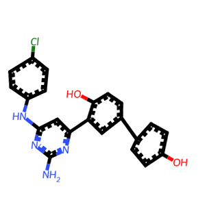 Nc1nc(Nc2ccc(Cl)cc2)cc(-c2cc(-c3ccc(O)cc3)ccc2O)n1